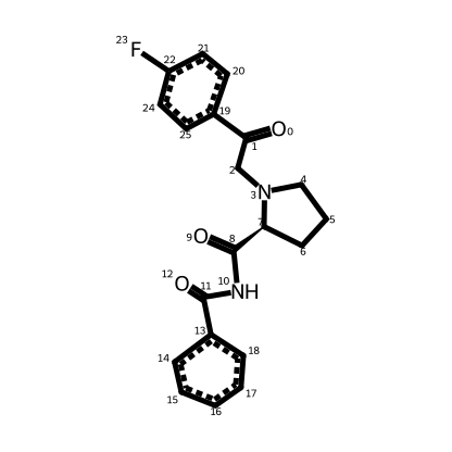 O=C(CN1CCC[C@H]1C(=O)NC(=O)c1ccccc1)c1ccc(F)cc1